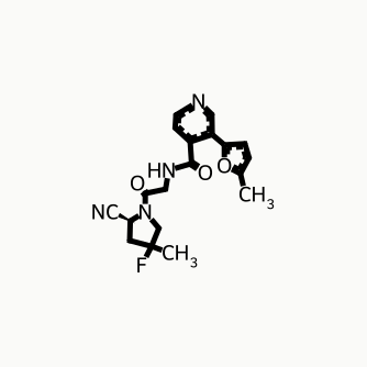 Cc1ccc(-c2cnccc2C(=O)NCC(=O)N2CC(C)(F)C[C@H]2C#N)o1